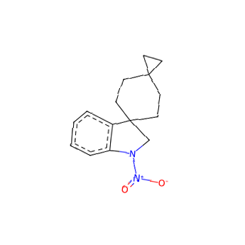 O=[N+]([O-])N1CC2(CCC3(CC3)CC2)c2ccccc21